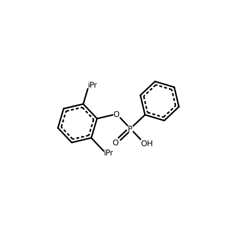 CC(C)c1cccc(C(C)C)c1OP(=O)(O)c1ccccc1